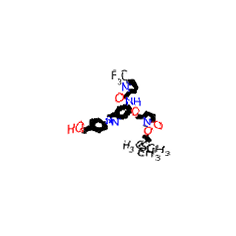 C[Si](C)(C)CCOCN1C(=O)CCC1COc1cc2nn(C3CCC(CO)CC3)cc2cc1NC(=O)c1cccc(C(F)(F)F)n1